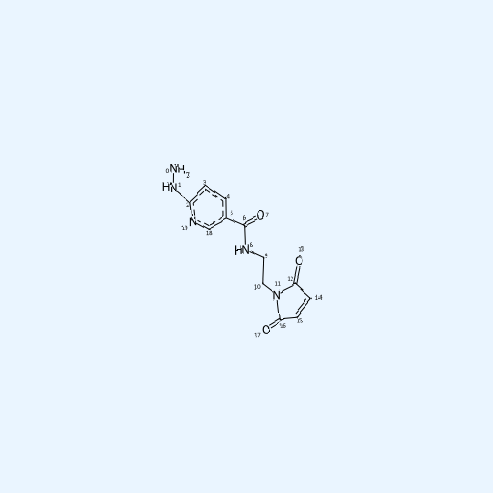 NNc1ccc(C(=O)NCCN2C(=O)C=CC2=O)cn1